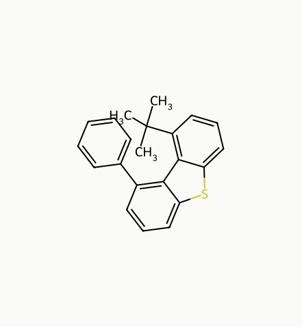 CC(C)(C)c1cccc2sc3cccc(-c4ccccc4)c3c12